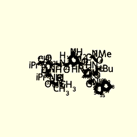 CN[C@@H](C)C(=O)N[C@H](C(=O)N1C[C@@H](NC(=O)c2cc(N)cc(C(=O)NCC[C@H](NC(=O)[C@@H](NC(=O)[C@H](C)N(C)Cl)C(C)C)C(=O)N[C@H](C)C(C)C)c2)C[C@H]1C(=O)N[C@@H]1CCCc2ccccc21)C(C)(C)C